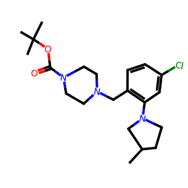 CC1CCN(c2cc(Cl)ccc2CN2CCN(C(=O)OC(C)(C)C)CC2)C1